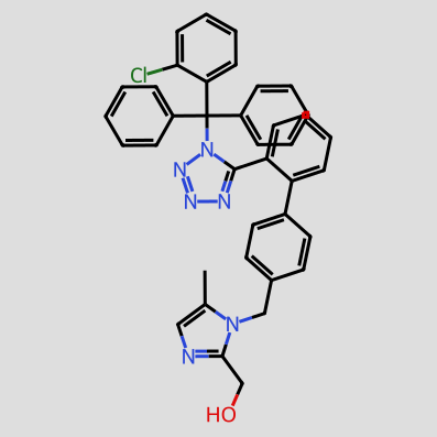 Cc1cnc(CO)n1Cc1ccc(-c2ccccc2-c2nnnn2C(c2ccccc2)(c2ccccc2)c2ccccc2Cl)cc1